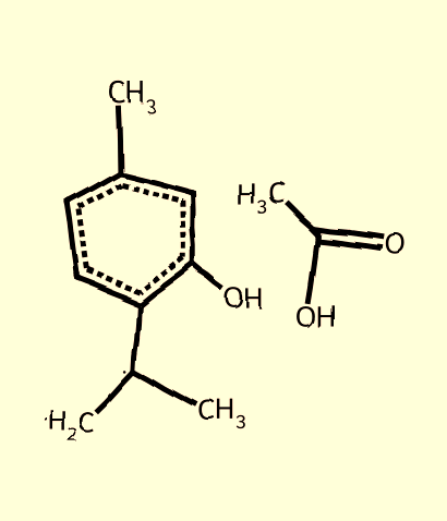 CC(=O)O.[CH2][C](C)c1ccc(C)cc1O